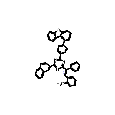 Cc1ccccc1/C=C(\c1ccccc1)c1nc(-c2ccc(-c3cccc4oc5ccccc5c34)cc2)nc(-c2ccc3ccccc3c2)n1